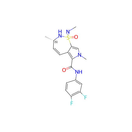 CN=S1(=O)N[C@@H](C)C=Cc2c1cn(C)c2C(=O)Nc1ccc(F)c(F)c1